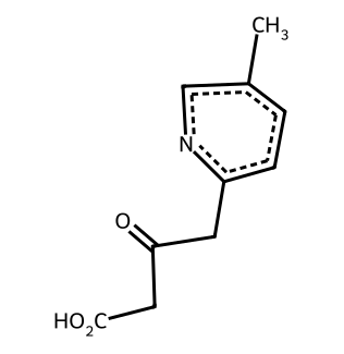 Cc1ccc(CC(=O)CC(=O)O)nc1